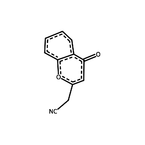 N#CCc1cc(=O)c2ccccc2o1